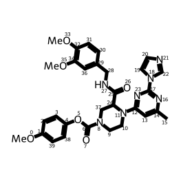 COc1ccc(OC(=O)N2CCN(c3cc(C)nc(-n4ccnc4)n3)C(C(=O)NCc3ccc(OC)c(OC)c3)C2)cc1